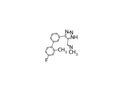 C/N=C/c1[nH]nnc1-c1cccc(-c2ccc(F)cc2C)c1